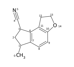 CC1CC(C#N)c2c1ccc1c2CCO1